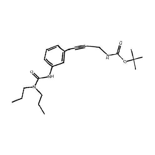 CCCN(CCC)C(=O)Nc1cccc(C#CCNC(=O)OC(C)(C)C)c1